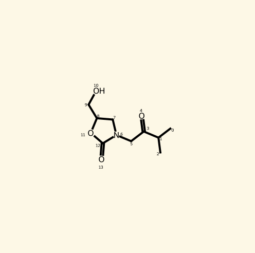 CC(C)C(=O)CN1CC(CO)OC1=O